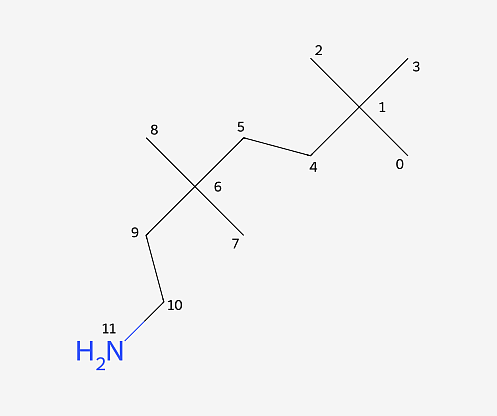 CC(C)(C)CCC(C)(C)CCN